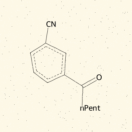 CCCCCC(=O)c1cccc(C#N)c1